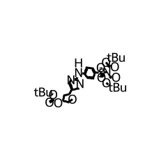 CC(C)(C)OC(=O)OC1COC(c2cnc(Nc3ccc(S(=O)(=O)N(C(=O)OC(C)(C)C)C(=O)OC(C)(C)C)cc3)nc2)C1